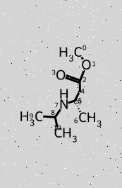 COC(=O)C[C@H](C)NC(C)C